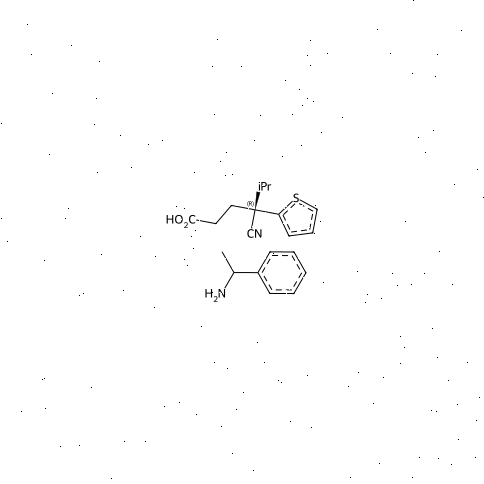 CC(C)[C@@](C#N)(CCC(=O)O)c1cccs1.CC(N)c1ccccc1